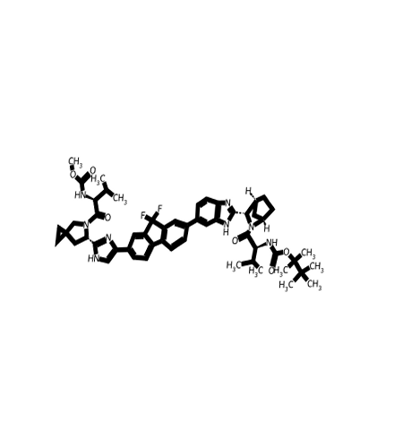 COC(=O)N[C@H](C(=O)N1CC2(CC2)C[C@H]1c1nc(-c2ccc3c(c2)C(F)(F)c2cc(-c4ccc5nc([C@@H]6[C@H]7CC[C@H](C7)N6C(=O)[C@@H](NC(=O)OC(C)(C)C(C)(C)C)C(C)C)[nH]c5c4)ccc2-3)c[nH]1)C(C)C